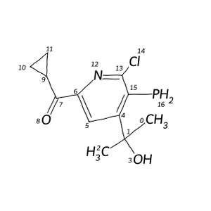 CC(C)(O)c1cc(C(=O)C2CC2)nc(Cl)c1P